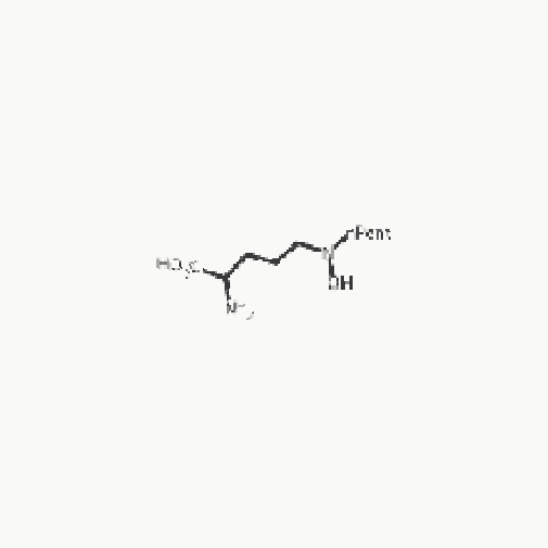 CCCCCN(O)CCCC(N)C(=O)O